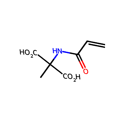 C=CC(=O)NC(C)(C(=O)O)C(=O)O